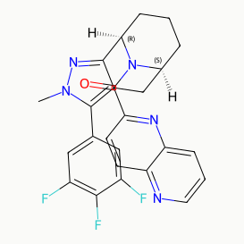 Cn1nc2c(c1-c1cc(F)c(F)c(F)c1)C[C@@H]1CCC[C@H]2N1C(=O)c1ccc2ncccc2n1